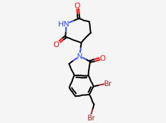 O=C1CCC(N2Cc3ccc(CBr)c(Br)c3C2=O)C(=O)N1